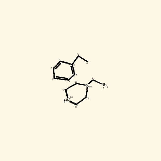 CCc1ccccc1.NCN1CCNCC1